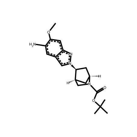 COc1cc2nn([C@H]3C[C@@H]4C[C@H]3CN4C(=O)OC(C)(C)C)cc2cc1N